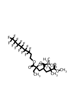 CCC(C)(CC(CC(C)(C)C(=O)OC)C(=O)N(C)C)C(=O)OCCC(F)(F)C(F)(F)C(F)(F)C(F)(F)C(F)(F)C(F)(F)F